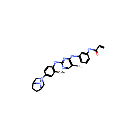 C=CC(=O)Nc1cccc(Nc2nc(Nc3ccc(N4CC5CCC(C4)N5C(C)=O)cc3OC)ncc2C(F)(F)F)c1